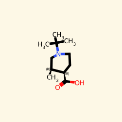 C[C@H]1CN(C(C)(C)C)CC[C@H]1C(=O)O